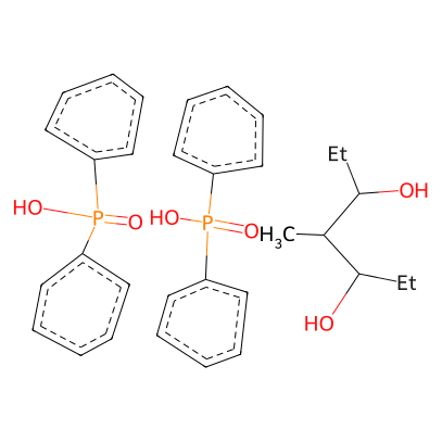 CCC(O)C(C)C(O)CC.O=P(O)(c1ccccc1)c1ccccc1.O=P(O)(c1ccccc1)c1ccccc1